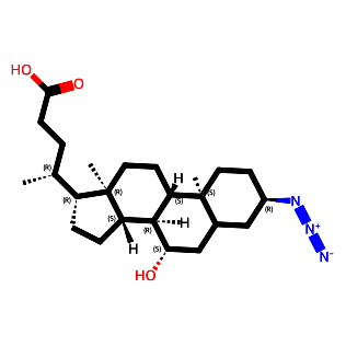 C[C@H](CCC(=O)O)[C@H]1CC[C@H]2[C@@H]3[C@@H](O)CC4C[C@H](N=[N+]=[N-])CC[C@]4(C)[C@H]3CC[C@]12C